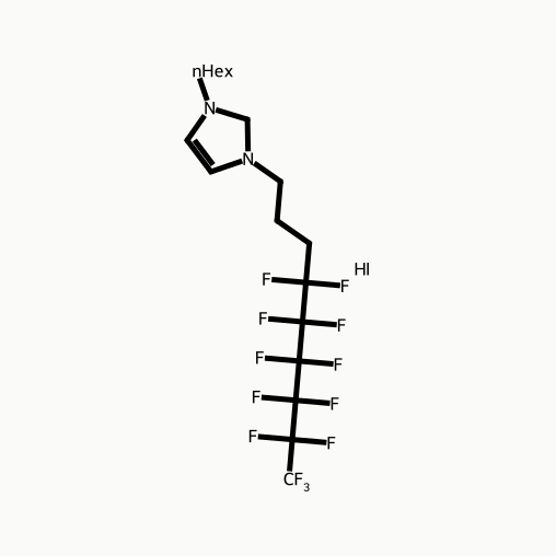 CCCCCCN1C=CN(CCCC(F)(F)C(F)(F)C(F)(F)C(F)(F)C(F)(F)C(F)(F)F)C1.I